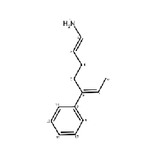 C/C=C(\CC/C=C/N)c1ccccc1